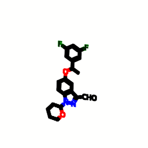 CC(Oc1ccc2c(c1)c(C=O)nn2C1CCCCO1)c1cc(F)cc(F)c1